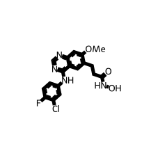 COc1cc2ncnc(Nc3ccc(F)c(Cl)c3)c2cc1CCC(=O)NO